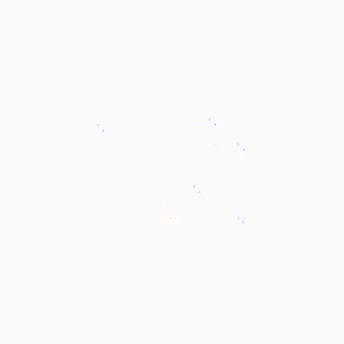 N#Cc1cccc(-c2c[nH]c3ncc(C#N)c(N4CCOCC4)c23)c1F